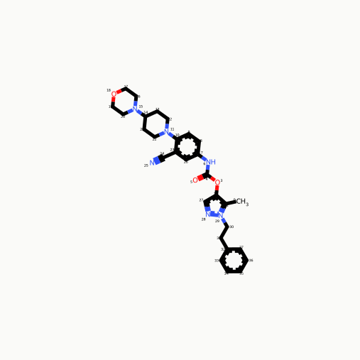 Cc1c(OC(=O)Nc2ccc(N3CCC(N4CCOCC4)CC3)c(C#N)c2)cnn1CCc1ccccc1